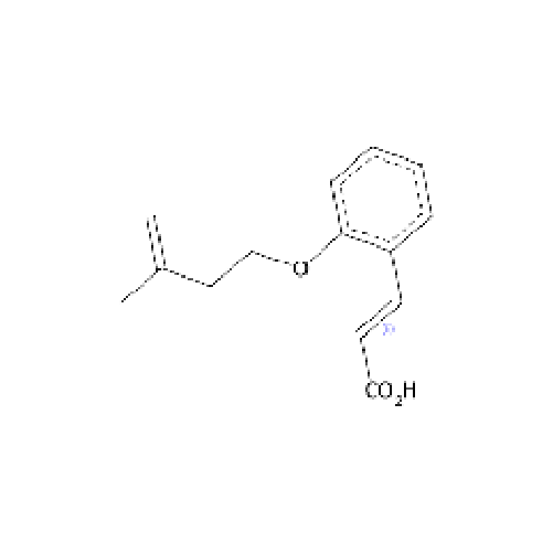 C=C(C)CCOc1ccccc1/C=C/C(=O)O